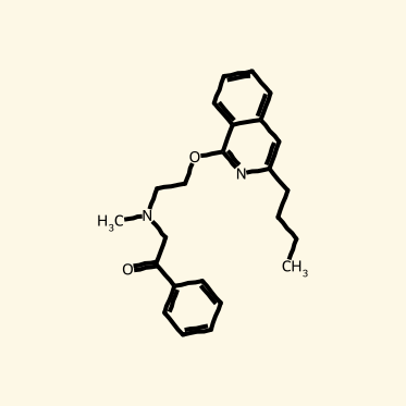 CCCCc1cc2ccccc2c(OCCN(C)CC(=O)c2ccccc2)n1